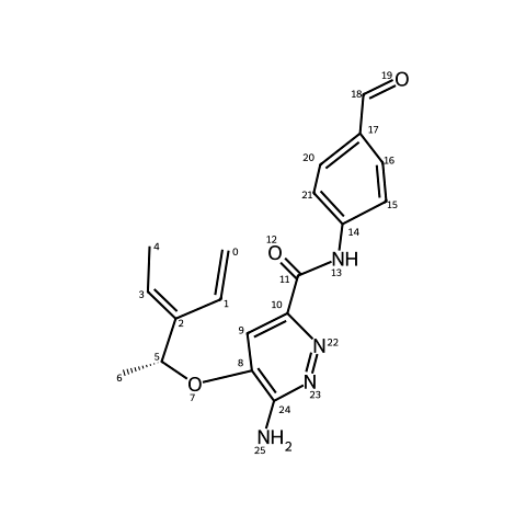 C=C/C(=C\C)[C@@H](C)Oc1cc(C(=O)Nc2ccc(C=O)cc2)nnc1N